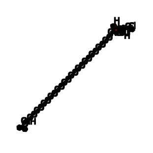 CC(C)(C)OC(=O)C(Cc1ccc(NC(=O)c2c(Cl)cccc2Cl)cc1)NC(=O)C1(CCNC(=O)CCOCCOCCOCCOCCOCCOCCOCCOCCOCCOCCOCCOCCOCCOCCOCCOCCOCCOCCOCCOCCOCCOCCOCCOCCNC(=O)OCC2c3ccccc3-c3ccccc32)CCCC1